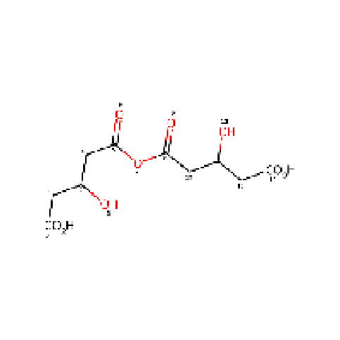 O=C(O)CC(O)CC(=O)OC(=O)CC(O)CC(=O)O